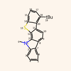 Cn1c2ccccc2c2ccc3c(sc4cccc(C(C)(C)C)c43)c21